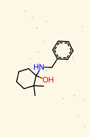 CC1(C)CCCCC1(O)NCc1ccccc1